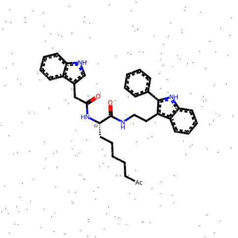 CC(=O)CCCCC[C@H](NC(=O)Cc1c[nH]c2ccccc12)C(=O)NCCc1c(-c2ccccc2)[nH]c2ccccc12